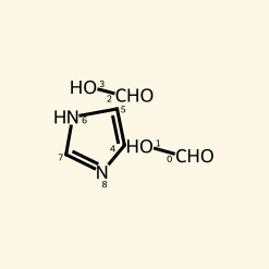 O=CO.O=CO.c1c[nH]cn1